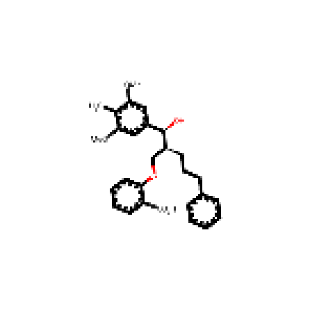 COc1cc([C@@H](O)[C@@H](CCCc2ccccc2)COc2ccccc2C(=O)O)cc(OC)c1C